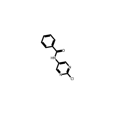 O=C(Nc1cnc(Cl)nc1)c1ccccc1